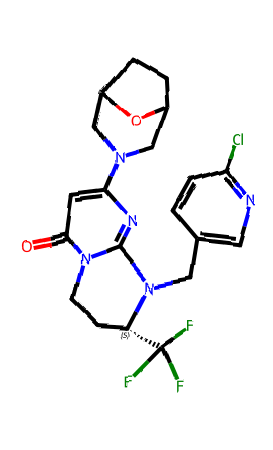 O=c1cc(N2CC3CCC(C2)O3)nc2n1CC[C@@H](C(F)(F)F)N2Cc1ccc(Cl)nc1